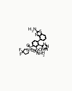 Nc1nc2c(-c3ccc(S(=O)(=O)N4CCC(F)(F)C4)c(S(N)(=O)=O)c3-c3nnn[nH]3)cccc2s1